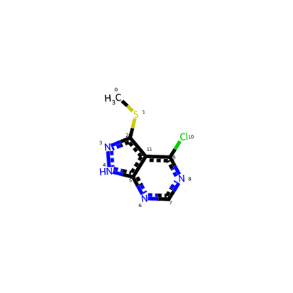 CSc1n[nH]c2ncnc(Cl)c12